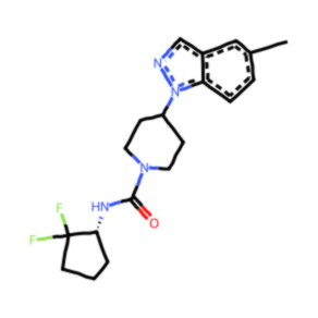 Cc1ccc2c(cnn2C2CCN(C(=O)N[C@@H]3CCCC3(F)F)CC2)c1